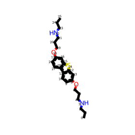 CCCNCCCOc1ccc2c(c1)sc1cc(OCCCNCCC)ccc12